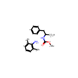 CC(C)(C)OC(=O)NC(Cc1ccccc1)C(=O)O.CC(C)c1cccc(C(C)C)c1N